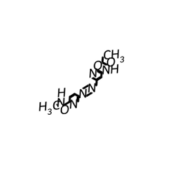 CCC1Oc2ncc(CN3CCN(c4ccc(C(=O)NC)nc4)CC3)cc2NC1=O